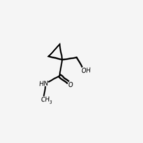 CNC(=O)C1(CO)CC1